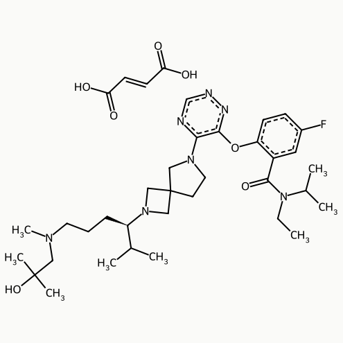 CCN(C(=O)c1cc(F)ccc1Oc1nncnc1N1CCC2(C1)CN([C@H](CCCN(C)CC(C)(C)O)C(C)C)C2)C(C)C.O=C(O)/C=C/C(=O)O